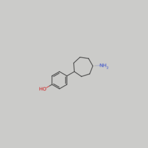 N[C@H]1CCCC(c2ccc(O)cc2)CC1